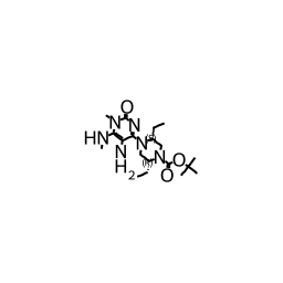 CC[C@@H]1CN(c2nc(=O)n(C)c(NC)c2N)[C@@H](CC)CN1C(=O)OC(C)(C)C